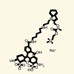 CN(OCc1cc2ccccc2n1CCCNCCCCCNC(=O)c1ccc(-c2c3ccc(=N)c(S(=O)(=O)[O-])c-3oc3c(S(=O)(=O)O)c(N)ccc23)c(C(=O)O)c1)C(=O)OCC[Si](C)(C)C.[Na+]